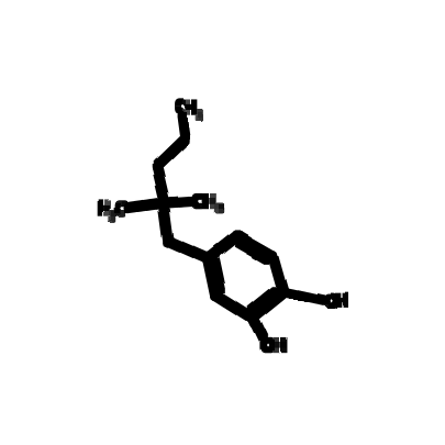 CCCC(C)(C)Cc1ccc(O)c(O)c1